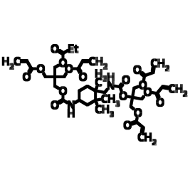 C=CC(=O)OCC(COC(=O)C=C)(COC(=O)CC)COC(=O)NC1CCC(C)(CNC(=O)OC(COC(=O)C=C)(COC(=O)C=C)COC(=O)C=C)C(C)(C)C1